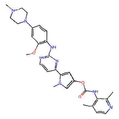 COc1cc(N2CCN(C)CC2)ccc1Nc1nccc(-c2cc(OC(=O)Nc3c(C)ccnc3C)cn2C)n1